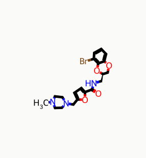 CN1CCN(Cc2ccc(C(=O)NC[C@@H]3COc4cccc(Br)c4O3)o2)CC1